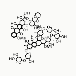 CO[C@H](C(=O)[C@@H](O)[C@@H](C)O)C1Cc2cc3cc(O[C@H]4C[C@@H](O[C@H]5C[C@@H](O)[C@H](O)[C@@H](C)O5)[C@@H](O)[C@@H](C)O4)c(C)c(O)c3c(O)c2C(=O)[C@H]1O[C@H]1C[C@@H](O[C@H]2C[C@@H](O[C@H]3C[C@](C)(O)[C@H](O)[C@@H](C)O3)[C@H](O)[C@@H](C)O2)[C@H](O)[C@@H](C)O1.COc1cccc2c1C(=O)c1c(O)c3c(c(O)c1C2=O)C[C@@](O)(C(=O)CO)C[C@@H]3O[C@H]1C[C@H](N)[C@H](O[C@@H]2CCCCO2)[C@H](C)O1